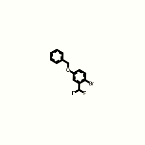 FC(F)c1cc(OCc2ccccc2)ccc1Br